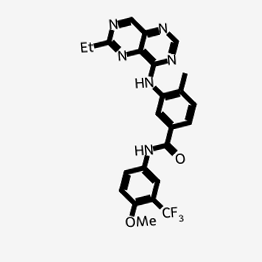 CCc1ncc2ncnc(Nc3cc(C(=O)Nc4ccc(OC)c(C(F)(F)F)c4)ccc3C)c2n1